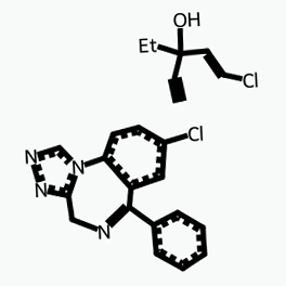 C#CC(O)(/C=C/Cl)CC.Clc1ccc2c(c1)C(c1ccccc1)=NCc1nncn1-2